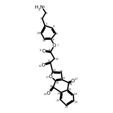 NCCc1ccc(OC(=O)CC(=O)c2cc3c(o2)C(=O)c2ccccc2C3=O)cc1